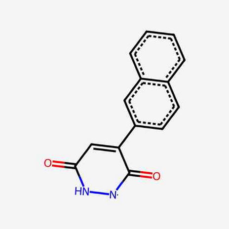 O=C1C=C(c2ccc3ccccc3c2)C(=O)[N]N1